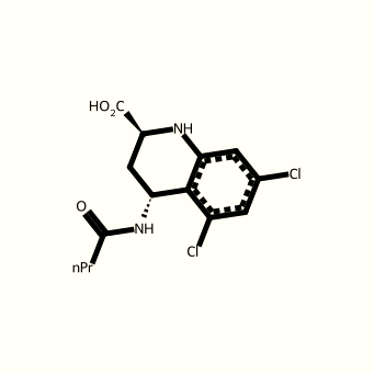 CCCC(=O)N[C@@H]1C[C@@H](C(=O)O)Nc2cc(Cl)cc(Cl)c21